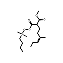 CCC=C(C)CCC(C(=O)OC)C(=O)OO[Si](C)(C)CCCC